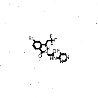 O=C(Cn1nc(CC(F)(F)F)c2cc(Br)ccc2c1=O)Nc1ncncc1F